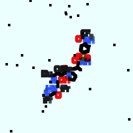 CCC(C)[C@@H](/C(=C/C(=O)N1CCC[C@H]1/C=C(\C)C(=O)NS(=O)(=O)c1ccc(NC(=O)C(F)(F)F)cc1)OC)N(C)C(O)[C@@H](NC(=O)[C@H](C(C)C)N(C)C)C(C)C